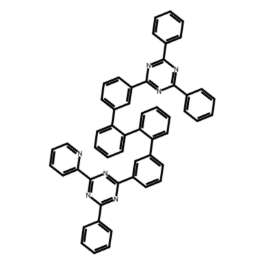 c1ccc(-c2nc(-c3ccccc3)nc(-c3cccc(-c4ccccc4-c4ccccc4-c4cccc(-c5nc(-c6ccccc6)nc(-c6ccccn6)n5)c4)c3)n2)cc1